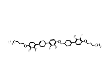 CCCCOc1ccc(C2=CCC(COc3ccc(C4CC=C(c5ccc(OCCCC)c(F)c5F)CC4)c(F)c3F)CC2)c(F)c1F